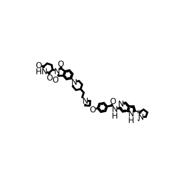 CN1CCC[C@@H]1c1cc2cnc(NC(=O)c3ccc(OC4CN(CCC5CCN(c6ccc7c(c6)C(=O)N(C6CCC(=O)NC6=O)C7=O)CC5)C4)cc3)cc2[nH]1